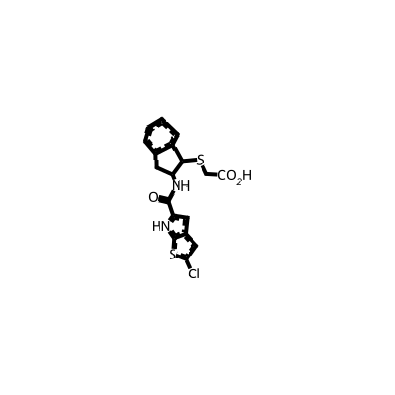 O=C(O)CSC1c2ccccc2CC1NC(=O)c1cc2cc(Cl)sc2[nH]1